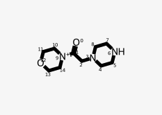 O=C(CN1CCNCC1)[N+]1CCOCC1